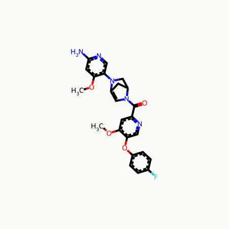 COc1cc(C(=O)N2C=C3CC2CN3c2cnc(N)cc2OC)ncc1Oc1ccc(F)cc1